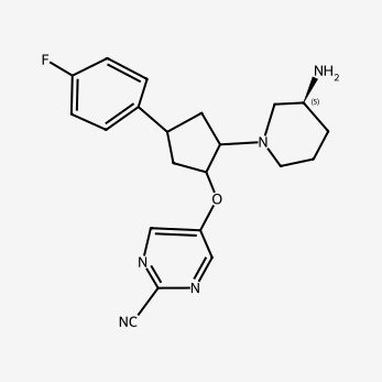 N#Cc1ncc(OC2CC(c3ccc(F)cc3)CC2N2CCC[C@H](N)C2)cn1